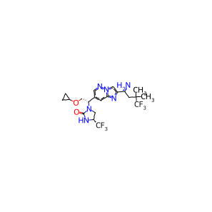 CC(C)(C[C@H](N)c1cn2ncc([C@@H](COC3CC3)N3C[C@@H](C(F)(F)F)NC3=O)cc2n1)C(F)(F)F